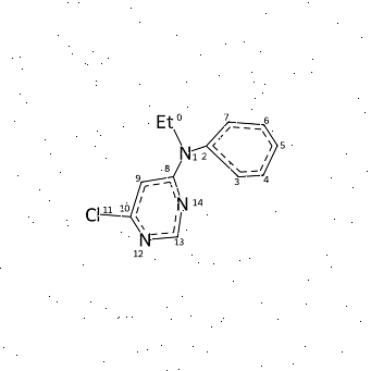 CCN(c1ccccc1)c1cc(Cl)ncn1